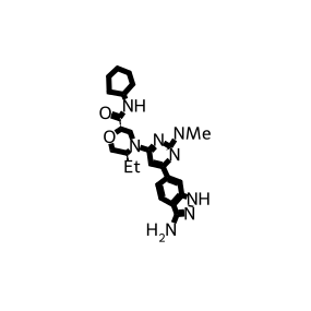 CC[C@@H]1CO[C@H](C(=O)NC2CCCCC2)CN1c1cc(-c2ccc3c(N)n[nH]c3c2)nc(NC)n1